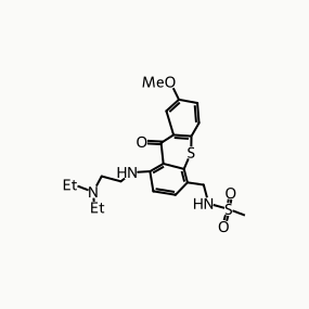 CCN(CC)CCNc1ccc(CNS(C)(=O)=O)c2sc3ccc(OC)cc3c(=O)c12